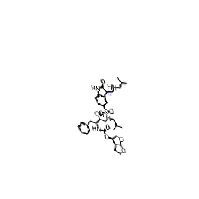 CC(C)CN/C=C1\C(=O)Nc2ccc(S(=O)(=O)N(CC(C)C)CC(O)C(Cc3ccccc3)NC(=O)OC3COC4OCCC34)cc21